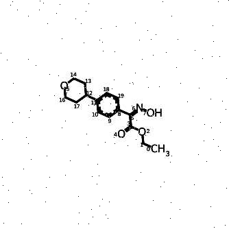 CCOC(=O)/C(=N\O)c1ccc(C2CCOCC2)cc1